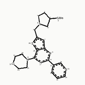 CSC1CCN(Cc2cc3nc(-c4cccnc4)nc(N4CCOCC4)c3s2)C1